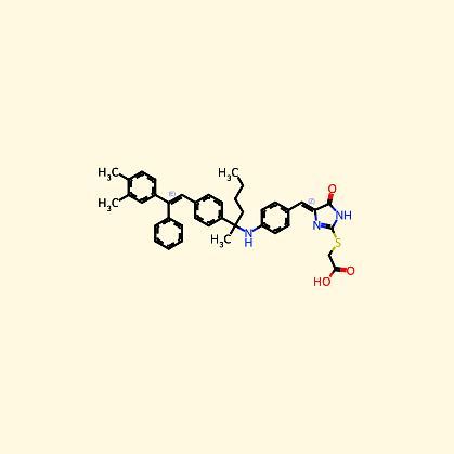 CCCCC(C)(Nc1ccc(/C=C2\N=C(SCC(=O)O)NC2=O)cc1)c1ccc(/C=C(\c2ccccc2)c2ccc(C)c(C)c2)cc1